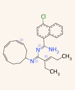 CC/C=C(CC)/C(=N/C1C/C=C\C=CC=CCC1)/N=C(\N)c1ccc(Cl)c2ccccc12